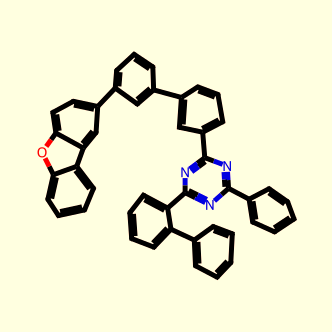 c1ccc(-c2nc(-c3cccc(-c4cccc(-c5ccc6oc7ccccc7c6c5)c4)c3)nc(-c3ccccc3-c3ccccc3)n2)cc1